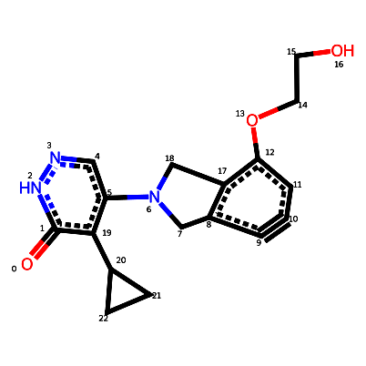 O=c1[nH]ncc(N2Cc3c#ccc(OCCO)c3C2)c1C1CC1